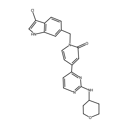 O=c1cc(-c2ccnc(NC3CCOCC3)n2)ccn1Cc1ccc2c(Cl)c[nH]c2c1